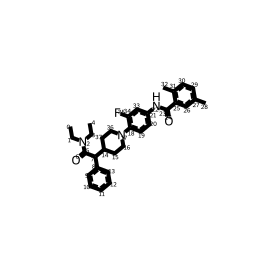 CCN(CC)C(=O)C(c1ccccc1)C1CCN(c2ccc(NC(=O)c3cc(C)ccc3C)cc2F)CC1